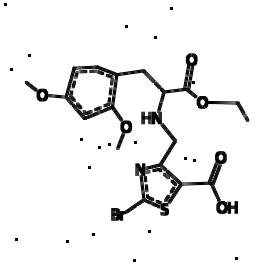 CCOC(=O)C(Cc1ccc(OC)cc1OC)NCc1nc(Br)sc1C(=O)O